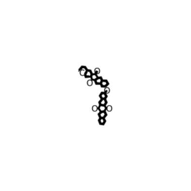 O=C1c2cc3ccccc3cc2C(=O)c2cc3cc(Oc4ccc5cc6c(cc5c4)C(=O)c4cc5ccccc5cc4C6=O)ccc3cc21